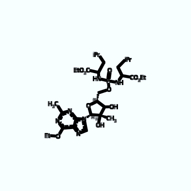 CCOC(=O)C(CC(C)C)NP(=O)(NC(CC(C)C)C(=O)OCC)OC[C@H]1O[C@@H](n2cnc3c(OCC)nc(C)nc32)[C@@](C)(O)C1O